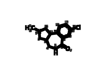 CN1CC2CNC(=O)c3cc(Cl)ccc3C2C1